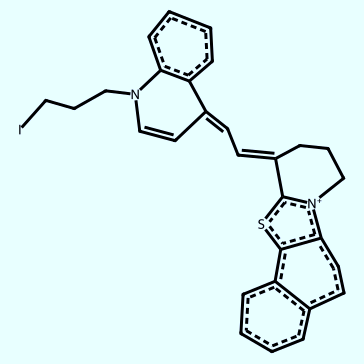 ICCCN1C=CC(=CC=C2CCC[n+]3c2sc2c4ccccc4ccc23)c2ccccc21